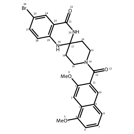 COc1cc2c(OC)cccc2cc1C(=O)N1CCC2(CC1)NC(=O)c1cc(Br)ccc1N2